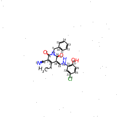 CCC1=C(C#N)C(=O)N(Cc2ccccc2)C(=O)/C1=C\Nc1cc(Cl)ccc1O